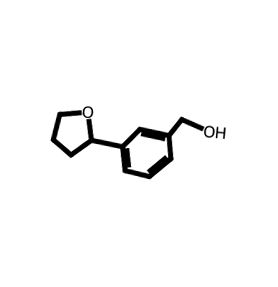 OCc1cccc(C2CCCO2)c1